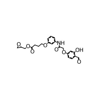 O=Cc1ccc(OCC(=O)Nc2cccc(OCCCC(=O)OCC3CO3)c2)cc1O